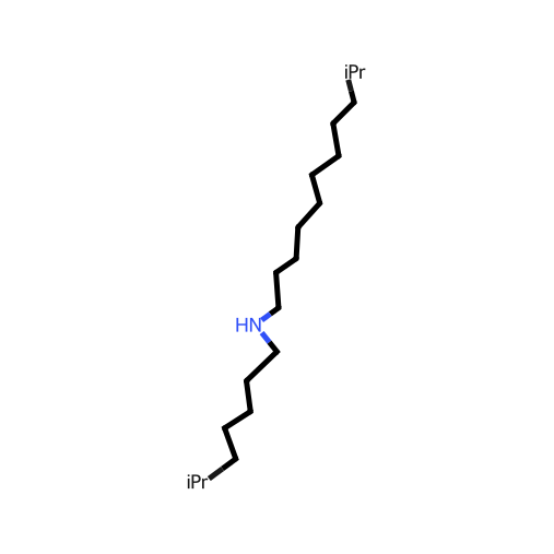 CC(C)CCCCCCCCCNCCCCCC(C)C